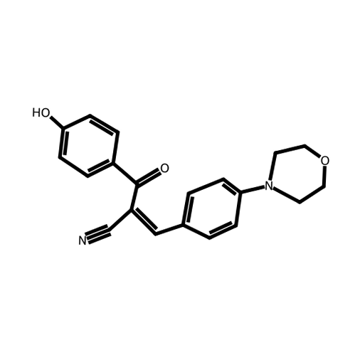 N#CC(=Cc1ccc(N2CCOCC2)cc1)C(=O)c1ccc(O)cc1